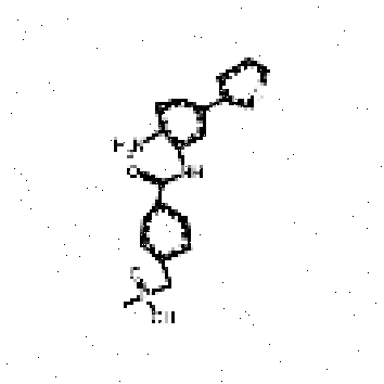 CP(=O)(O)Cc1ccc(C(=O)Nc2cc(-c3ccccc3)ccc2N)cc1